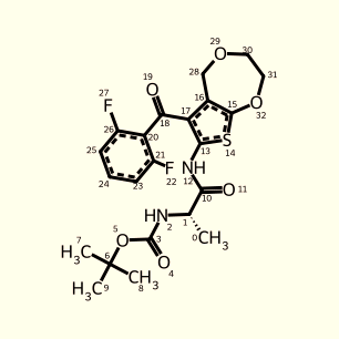 C[C@H](NC(=O)OC(C)(C)C)C(=O)Nc1sc2c(c1C(=O)c1c(F)cccc1F)COCCO2